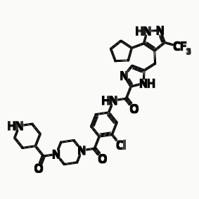 O=C(Nc1ccc(C(=O)N2CCN(C(=O)C3CCNCC3)CC2)c(Cl)c1)c1ncc(Cc2c(C(F)(F)F)n[nH]c2C2CCCC2)[nH]1